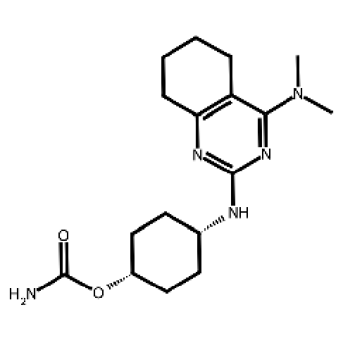 CN(C)c1nc(N[C@H]2CC[C@@H](OC(N)=O)CC2)nc2c1CCCC2